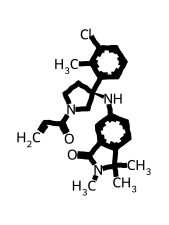 C=CC(=O)N1CC[C@](Nc2ccc3c(c2)C(=O)N(C)C3(C)C)(c2cccc(Cl)c2C)C1